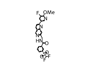 COc1ncc(-c2ccc3cnc(CNC(=O)c4cccc(S(=O)(=O)C(F)F)c4)cc3n2)cc1F